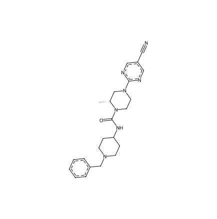 C[C@@H]1CN(c2ncc(C#N)cn2)CCN1C(=O)NC1CCN(Cc2ccccc2)CC1